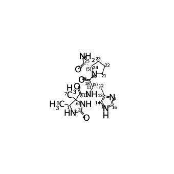 CC1NC(=O)NC1(C)C(=O)N[C@@H](Cc1c[nH]cn1)C(=O)N1CCC[C@H]1C(N)=O